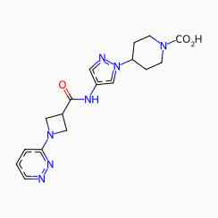 O=C(Nc1cnn(C2CCN(C(=O)O)CC2)c1)C1CN(c2cccnn2)C1